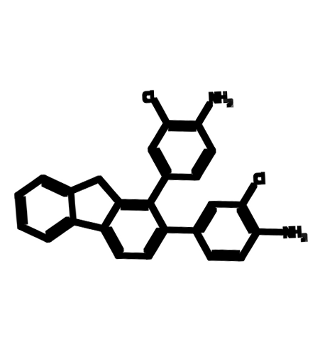 Nc1ccc(-c2ccc3c(c2-c2ccc(N)c(Cl)c2)Cc2ccccc2-3)cc1Cl